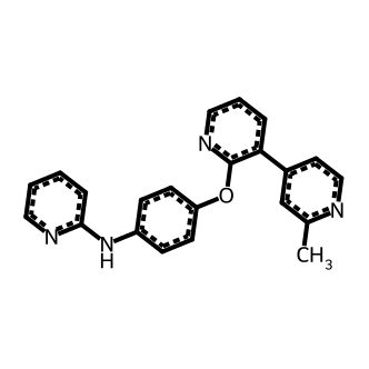 Cc1cc(-c2cccnc2Oc2ccc(Nc3ccccn3)cc2)ccn1